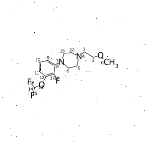 COCCN1CCN(c2cccc(OC(F)F)c2F)CC1